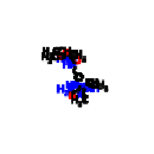 CCc1nc(C(N)=O)c(Nc2cccc(CCNC(=O)[C@H](C)NC(=O)OC(C)(C)C)c2)nc1NC(C)C